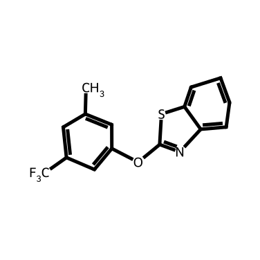 Cc1cc(Oc2nc3ccccc3s2)cc(C(F)(F)F)c1